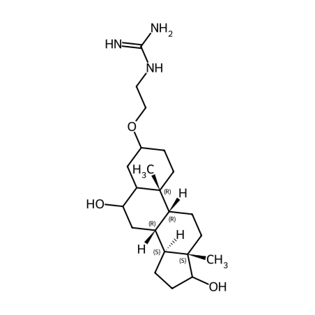 C[C@]12CCC(OCCNC(=N)N)CC1C(O)C[C@@H]1[C@H]2CC[C@]2(C)C(O)CC[C@@H]12